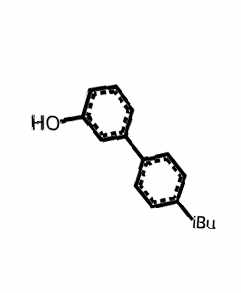 CCC(C)c1ccc(-c2cccc(O)c2)cc1